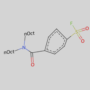 CCCCCCCCN(CCCCCCCC)C(=O)c1ccc(S(=O)(=O)F)cc1